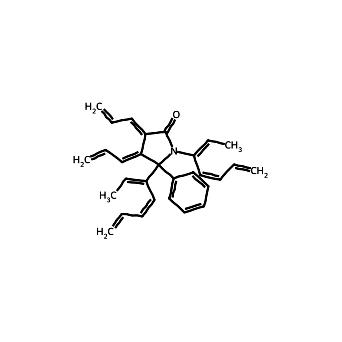 C=C/C=C\C(=C/C)N1C(=O)C(=C/C=C)/C(=C\C=C)C1(C(/C=C\C=C)=C/C)c1ccccc1